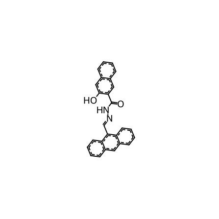 O=C(N/N=C/c1c2ccccc2cc2ccccc12)c1cc2ccccc2cc1O